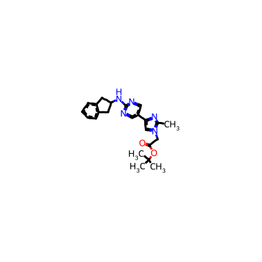 Cc1nc(-c2cnc(NC3Cc4ccccc4C3)nc2)cn1CC(=O)OC(C)(C)C